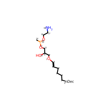 CCCCCCCCCCCCCC/C=C/OCC(O)COP(C)OCCN